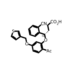 CC(=O)c1ccc(OCc2ccsc2)cc1O[C@@H](CCC(=O)O)c1ccccc1C#N